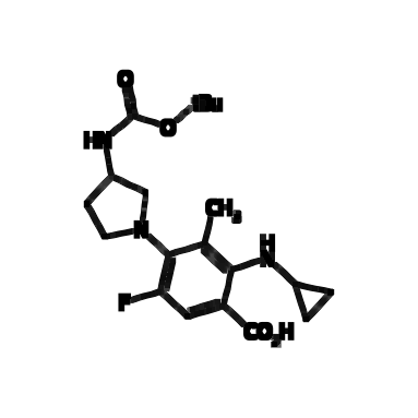 Cc1c(NC2CC2)c(C(=O)O)cc(F)c1N1CCC(NC(=O)OC(C)(C)C)C1